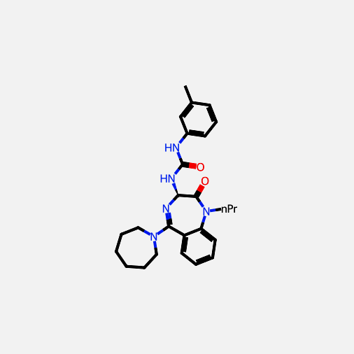 CCCN1C(=O)[C@H](NC(=O)Nc2cccc(C)c2)N=C(N2CCCCCC2)c2ccccc21